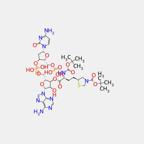 CC(C)(C)OC(=O)N[C@@H](CC[C@H]1CN(C(=O)OC(C)(C)C)CS1)C(=O)O[C@H]1[C@@H](O)[C@H](n2cnc3c(N)ncnc32)O[C@@H]1CO[PH](O)(O)O[C@H]1C[C@H](n2ccc(N)nc2=O)O[C@@H]1COP(=O)(O)O